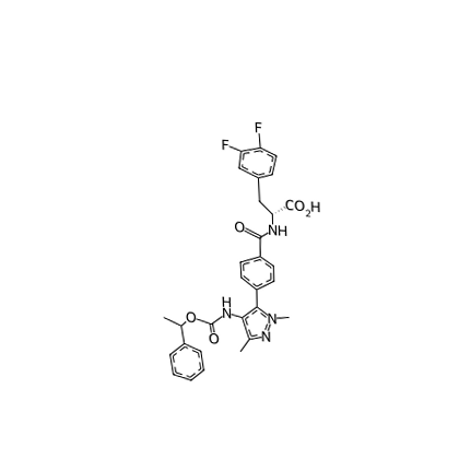 Cc1nn(C)c(-c2ccc(C(=O)N[C@H](Cc3ccc(F)c(F)c3)C(=O)O)cc2)c1NC(=O)OC(C)c1ccccc1